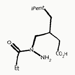 CCCC(C)CC(CC(=O)O)CN(N)C(=O)CC